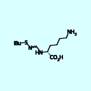 CCC(C)SN=CN[C@H](CCCCN)C(=O)O